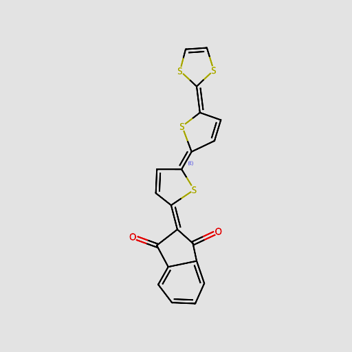 O=C1C(=c2cc/c(=c3/ccc(=C4SC=CS4)s3)s2)C(=O)c2ccccc21